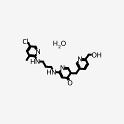 Cc1cc(Cl)cnc1NCCCNC1=CC(=O)C(Cc2ccc(CO)nc2)C=N1.O